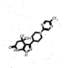 O=C1CC(O)(C(F)(F)F)c2c(C3CCN(c4cnc(C(F)(F)F)cn4)CC3)n[nH]c2N1